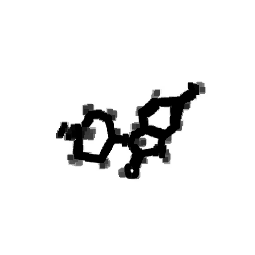 O=C1[N]c2cc(F)ccc2N1C1CCNCC1